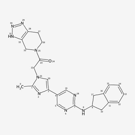 Cc1nc(-c2cnc(NC3Cc4ccccc4C3)nc2)cn1CC(=O)N1CCc2nn[nH]c2C1